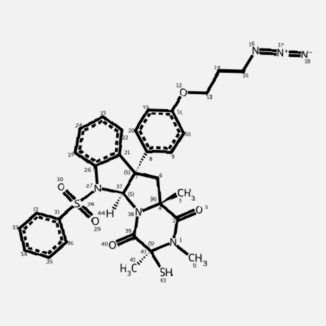 CN1C(=O)[C@@]2(C)C[C@]3(c4ccc(OCCCN=[N+]=[N-])cc4)c4ccccc4N(S(=O)(=O)c4ccccc4)[C@@H]3N2C(=O)[C@]1(C)S